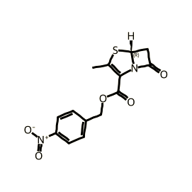 CC1=C(C(=O)OCc2ccc([N+](=O)[O-])cc2)N2C(=O)C[C@H]2S1